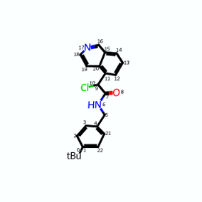 CC(C)(C)c1ccc(CNC(=O)C(Cl)c2cccc3cnccc23)cc1